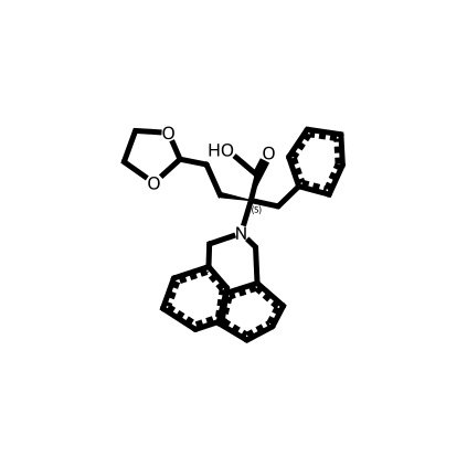 O=C(O)[C@](CCC1OCCO1)(Cc1ccccc1)N(Cc1ccccc1)Cc1ccccc1